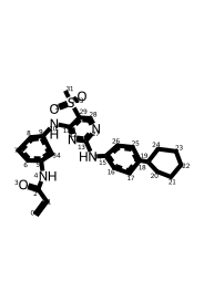 C=CC(=O)Nc1cccc(Nc2nc(Nc3ccc(C4CCCCC4)cc3)ncc2S(C)(=O)=O)c1